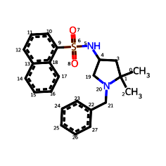 CC1(C)CC(NS(=O)(=O)c2cccc3ccccc23)CN1Cc1ccccc1